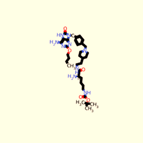 CCCCOc1nc(N)c2[nH]c(=O)n(Cc3ccc(CN4CCC(CCNC(=O)[C@H](N)CCCCNC(=O)OC(C)(C)C)CC4)cc3)c2n1